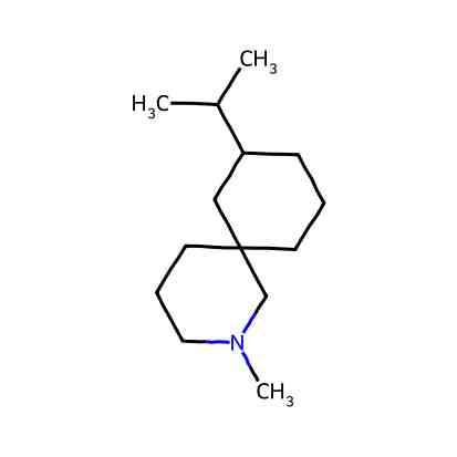 CC(C)C1CCCC2(CCCN(C)C2)C1